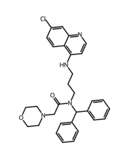 O=C(CN1CCOCC1)N(CCCNc1ccnc2cc(Cl)ccc12)C(c1ccccc1)c1ccccc1